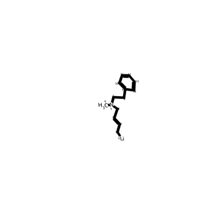 [Li][CH2]C=CCN(C)CCc1ccccc1